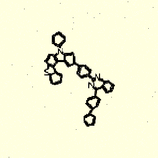 c1ccc(-c2ccc(-c3nc(-c4ccc(-c5ccc6c(c5)c5c7c(ccc5n6-c5ccccc5)sc5ccccc57)cc4)nc4ccccc34)cc2)cc1